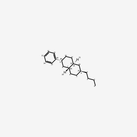 CCCC[C@H]1CC[C@@H]2C[C@H](c3ccccc3)CC[C@H]2C1